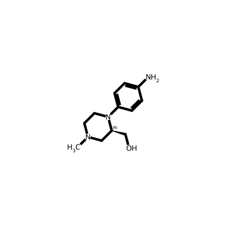 CN1CCN(c2ccc(N)cc2)[C@@H](CO)C1